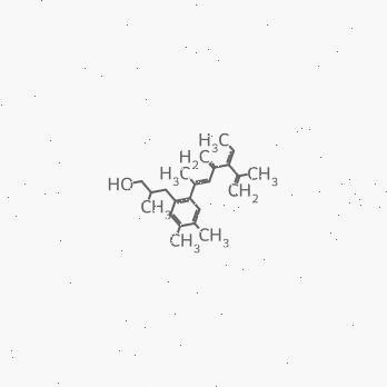 C=C(C)/C(=C/C)C(=C)/C=C(\C)c1cc(C)c(C)cc1CC(C)CO